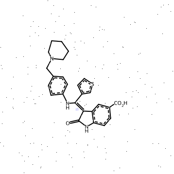 O=C1Nc2ccc(C(=O)O)cc2/C1=C(/Nc1ccc(CN2CCCCC2)cc1)c1ccsc1